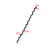 CCCCCC(O)CCC(O)CCCCCCCCCCCCCC(=O)O